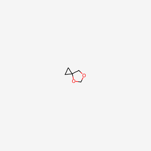 C1OCC2(CC2)O1